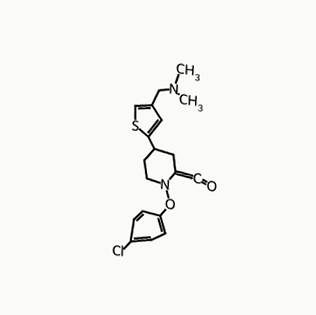 CN(C)Cc1csc(C2CCN(Oc3ccc(Cl)cc3)C(=C=O)C2)c1